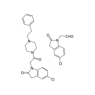 O=C(CN1C(=O)Cc2cc(Cl)ccc21)N1CCN(CCc2ccccc2)CC1.O=[C]CN1C(=O)Cc2cc(Cl)ccc21